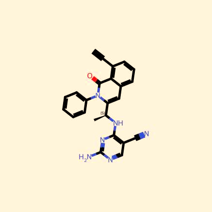 C#Cc1cccc2cc([C@H](C)Nc3nc(N)ncc3C#N)n(-c3ccccc3)c(=O)c12